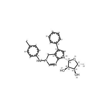 Cc1ccc(NN2C=Nc3c(c(-c4ccccc4)cn3[C@@H]3O[C@H](C)[C@@H](O)[C@H]3O)C2)cc1